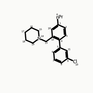 CCCc1ccc(-c2cccc(Cl)c2)c(CN2CCCCC2)c1